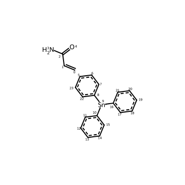 C=CC(N)=O.c1cc[c]([Sn]([c]2ccccc2)[c]2ccccc2)cc1